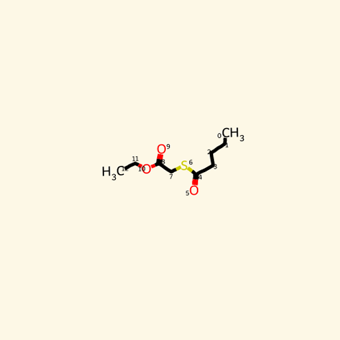 CCCCC(=O)SCC(=O)OCC